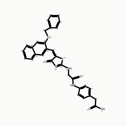 O=C(O)Cc1ccc(NC(=O)CNC2=NC(=O)C(=Cc3cc4ccccc4cc3OCc3ccccc3)S2)cc1